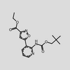 CCOC(=O)c1cc(-c2cccnc2NC(=O)OCC(C)(C)C)on1